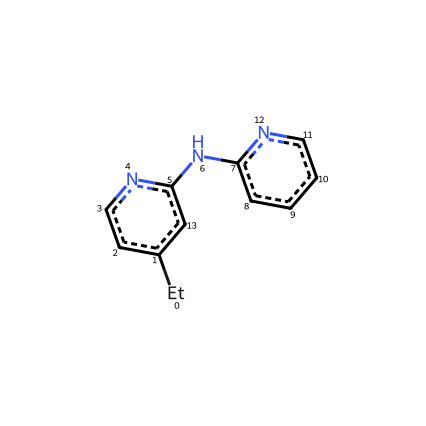 CCc1ccnc(Nc2ccccn2)c1